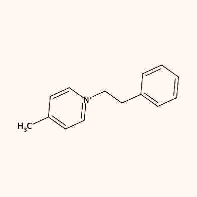 Cc1cc[n+](CCc2ccccc2)cc1